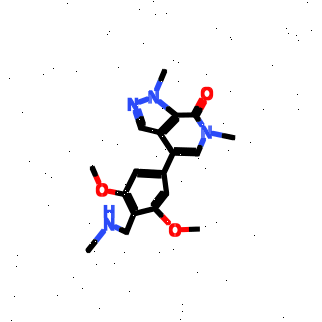 CNCc1c(OC)cc(-c2cn(C)c(=O)c3c2cnn3C)cc1OC